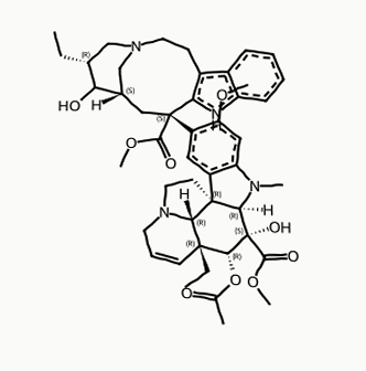 CC[C@@H]1CN2CCc3c([nH]c4ccccc34)[C@@](C(=O)OC)(c3cc4c(cc3OC)N(C)[C@H]3[C@@](O)(C(=O)OC)[C@H](OC(C)=O)[C@]5(CC)C=CCN6CC[C@]43[C@@H]65)C[C@@H](C2)C1O